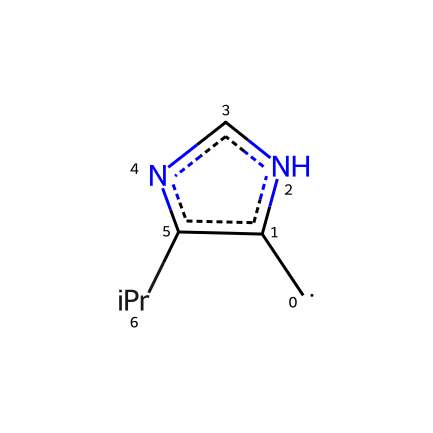 [CH2]c1[nH]cnc1C(C)C